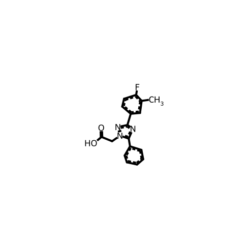 Cc1cc(-c2nc(-c3ccccc3)n(CC(=O)O)n2)ccc1F